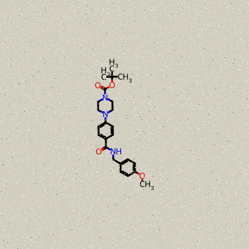 COc1ccc(CNC(=O)c2ccc(N3CCN(C(=O)OC(C)(C)C)CC3)cc2)cc1